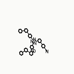 N#Cc1ccc(-c2cccc(-c3nc(-c4ccc(-c5cccc(-c6ccccc6)c5)cc4)nc(-c4ccc5c(c4)oc4cccc(-c6cccc(-c7ccccc7)c6)c45)n3)c2)cc1